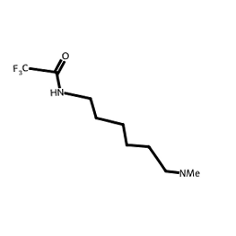 CNCCCCCCNC(=O)C(F)(F)F